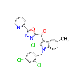 Cc1ccc2c(c1)c(C(=O)c1nnc(-c3ccccn3)o1)c(Cl)n2Cc1ccc(Cl)cc1Cl